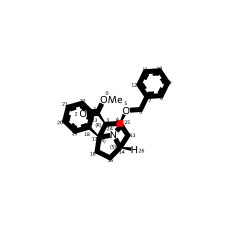 COC(=O)[C@H]1[C@@H](OCc2ccccc2)C[C@@H]2CC[C@@]1(c1ccccc1)N2C